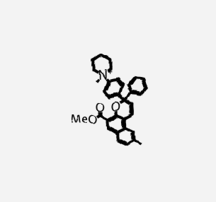 COC(=O)c1cc2ccc(C)cc2c2c1OC(c1ccccc1)(c1ccc([N+]3(C)CCCCC3)cc1)C=C2